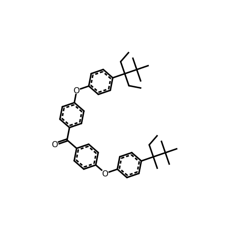 CCC(C)(c1ccc(Oc2ccc(C(=O)c3ccc(Oc4ccc(C(CC)(CC)C(C)(C)C)cc4)cc3)cc2)cc1)C(C)(C)C